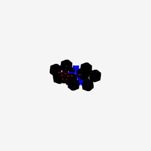 c1ccc(-c2cccc(-c3nc(-c4cccc(-c5ccccc5)c4-n4c5ccccc5c5ccccc54)nc(-c4c(-c5ccccc5)cccc4-n4c5ccccc5c5ccccc54)n3)c2)cc1